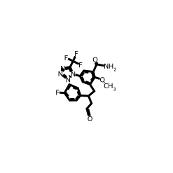 COc1c(CC(CC=O)c2ccc(F)cc2)cc(-n2nnnc2C(F)(F)F)cc1C(N)=O